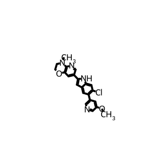 COc1cncc(-c2cc3cc(-c4cnc5c(c4)OCCN5C)[nH]c3cc2Cl)c1